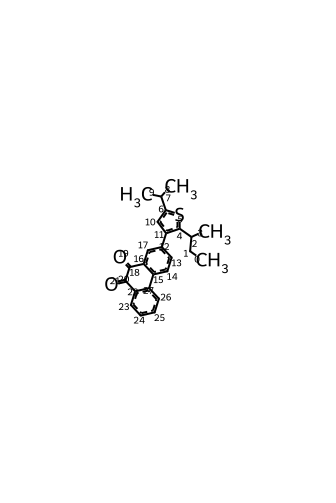 CCC(C)c1sc(C(C)C)cc1-c1ccc2c(c1)C(=O)C(=O)c1ccccc1-2